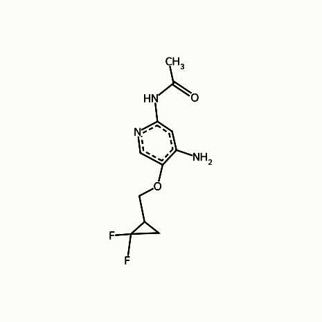 CC(=O)Nc1cc(N)c(OCC2CC2(F)F)cn1